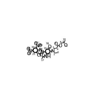 CCN(CCC(=O)OCC(C)=O)c1cc(NC(C)=O)c(N=Nc2c(Cl)cc([N+](=O)[O-])cc2[N+](=O)[O-])cc1OC